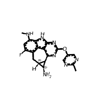 CNc1cc(F)c2c3c1[nH]c1nc(Oc4cnc(C)nc4)nc(c13)C1[C@@H](N)[C@@H]1C2